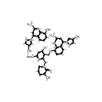 COc1cc(Cl)c(COc2cccc3c(-n4cc(C#N)cn4)cc(C)nc23)c(Cn2cccc(C#N)c2=O)n1.Cc1cc(-n2cc(C#N)cn2)c2cccc(O)c2n1